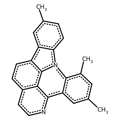 Cc1ccc2c(c1)c1ccc3ccnc4c5cc(C)cc(C)c5n2c1c34